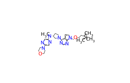 CN(c1cnc(N2CCOCC2)cn1)[C@@H]1CCN(c2ncnc3c2ccn3COCC[Si](C)(C)C)C1